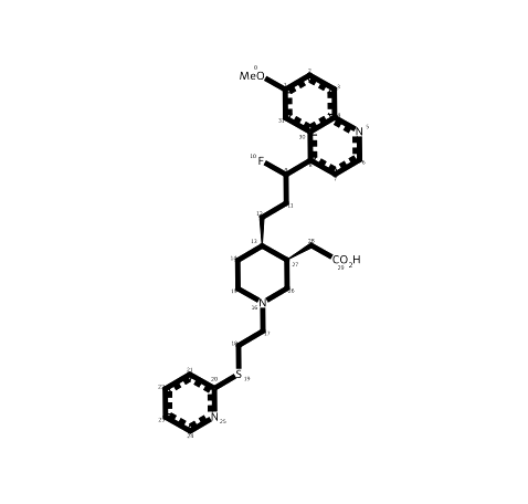 COc1ccc2nccc(C(F)CC[C@@H]3CCN(CCSc4ccccn4)C[C@@H]3CC(=O)O)c2c1